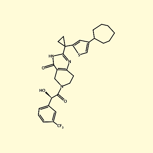 O=C([C@H](O)c1cccc(C(F)(F)F)c1)N1CCc2nc(C3(c4cc(C5CCCCCC5)cs4)CC3)[nH]c(=O)c2C1